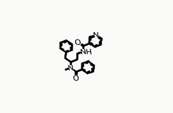 CN(C(=O)c1ccccc1)C(CCNC(=O)c1cccnc1)Cc1ccccc1